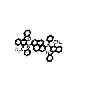 Cc1c(N(c2ccccc2)c2ccc3ccc4c(N(c5ccccc5)c5c(C)c6ccccc6c6c5oc5ccccc56)ccc5ccc2c3c54)c2oc3ccccc3c2c2ccccc12